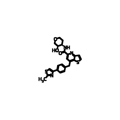 Cc1nc(-c2ccc(Cc3cc(C(=O)N[C@H]4CCOC[C@@H]4O)nc4ccsc34)cc2)cs1